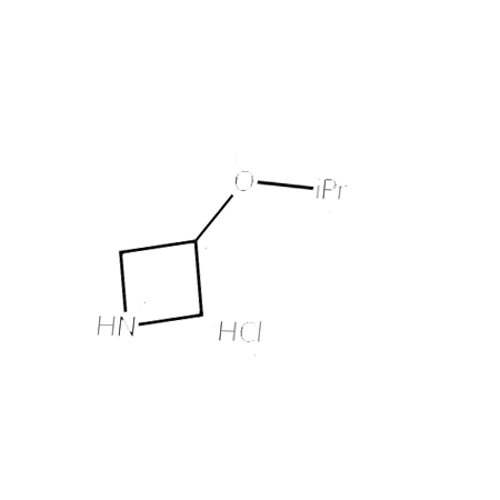 CC(C)OC1CNC1.Cl